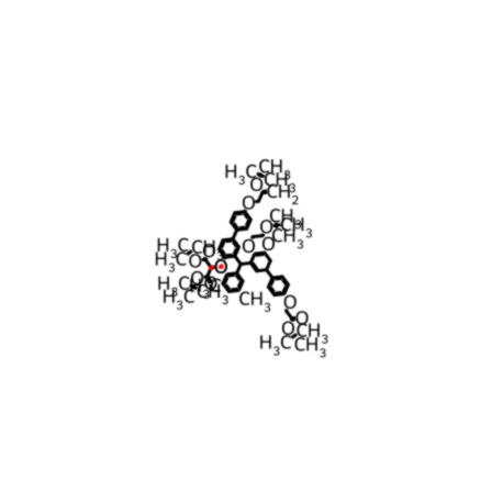 C=C(COc1ccc(-c2ccc(OCC(=O)OC(C)(C)C)c(C(C3=CC(c4ccc(OCC(=O)OC(C)(C)C)cc4)CC=C3OCC(=O)OC(C)(C)C)c3cc(C)cc(C)c3OCC(=O)OC(C)(C)C)c2)cc1)OC(C)(C)C